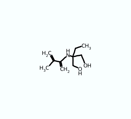 C=C(C)C(=C)NC(CC)(CO)CO